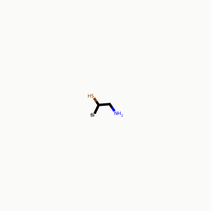 NC[CH](S)[Bi]